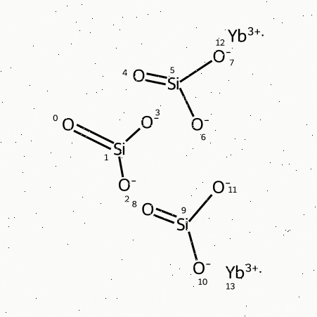 O=[Si]([O-])[O-].O=[Si]([O-])[O-].O=[Si]([O-])[O-].[Yb+3].[Yb+3]